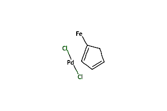 [Cl][Pd][Cl].[Fe][C]1=CC=CC1